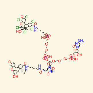 Cc1cn(C2CC(O)C(COP(=O)(O)OCCOCCOCCOC3C[C@H](n4cc(/C=C/C(=O)NCCCCCCNC(=O)c5ccc(-c6c7ccc(=O)cc-7oc7cc(O)ccc67)c(C(=O)O)c5)c(=O)[nH]c4=O)O[C@@H]3COP(=O)(O)OCCOCCOCCOP(=O)(O)OCCCCCCNC(=O)c3c(Cl)cc(-c4c5cc(Cl)c(=O)c(Cl)c-5oc5c(Cl)c(O)c(Cl)cc45)c(C=O)c3Cl)O2)c(=O)nc1N